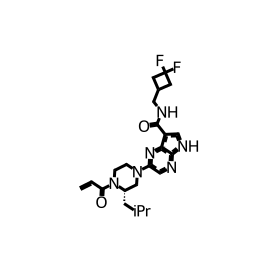 C=CC(=O)N1CCN(c2cnc3[nH]cc(C(=O)NCC4CC(F)(F)C4)c3n2)C[C@@H]1CC(C)C